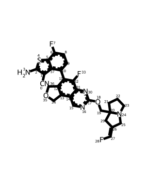 N#Cc1c(N)sc2c(F)ccc(-c3c4c(c5cnc(OCC67CCCN6CC(=CF)C7)nc5c3F)COC4)c12